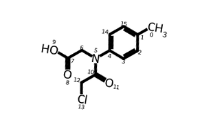 Cc1ccc(N(CC(=O)O)C(=O)CCl)cc1